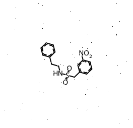 O=[N+]([O-])c1cccc(CS(=O)(=O)NCCc2ccccc2)c1